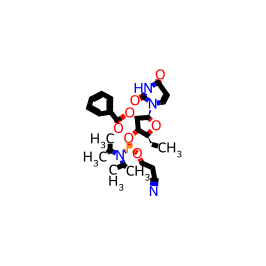 CC[C@H]1O[C@@H](n2ccc(=O)[nH]c2=O)[C@@H](OC(=O)c2ccccc2)C1OP(OCCC#N)N(C(C)C)C(C)C